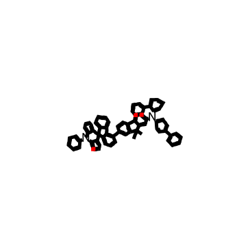 CC1(C)c2cc(-c3cccc4c3-c3ccccc3C43c4ccccc4N(c4ccccc4)c4ccccc43)ccc2-c2ccc(N(c3ccc(-c4ccccc4)cc3)c3ccccc3-c3ccccc3)cc21